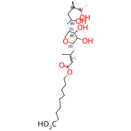 C/C(=C\C(=O)OCCCCCCCCC(=O)O)C[C@@H]1OC[C@H](C[C@H](O)C[C@@H](C)[C@H](C)O)[C@@H](O)C1O